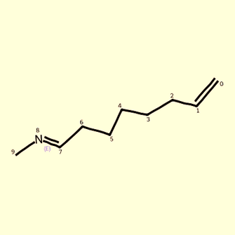 C=CCCCCC/C=N/C